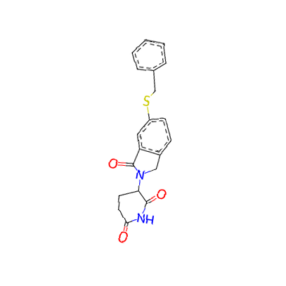 O=C1CCC(N2Cc3ccc(SCc4ccccc4)cc3C2=O)C(=O)N1